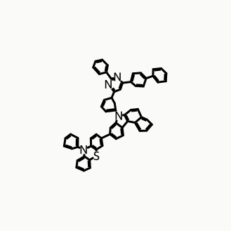 C1=CC(c2cc(-c3ccc(-c4ccccc4)cc3)nc(-c3ccccc3)n2)CC(n2c3cc(-c4ccc5c(c4)Sc4ccccc4N5c4ccccc4)ccc3c3c4ccccc4ccc32)=C1